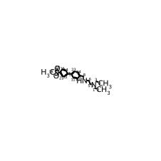 CCN(CC)CCNCc1ccc(-c2ccc(S(C)(=O)=O)cc2)cc1